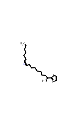 CCCCCC/C=C\CCCCCCCC(O)c1nccs1